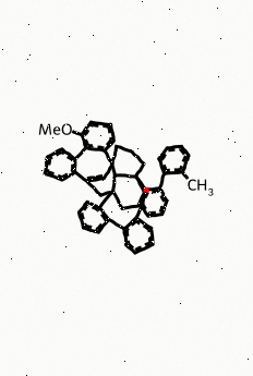 COc1cccc2c1-c1ccccc1C1=CC23CCCC2(c4ccccc4-c4ccccc4C)CC4CC(C1)(c1ccccc1-c1ccccc14)C32